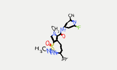 CN=S1(=O)NC(C(C)C)C=Cc2c1cn(C)c2C(=O)Nc1cc(F)nc(C#N)c1